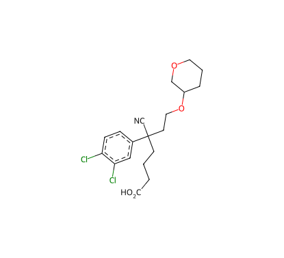 N#CC(CCCC(=O)O)(CCOC1CCCOC1)c1ccc(Cl)c(Cl)c1